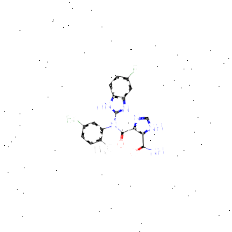 Cc1ccc(Br)cc1N(C(=O)c1nc[nH]c1C(N)=O)c1nc2cc(F)ccc2[nH]1